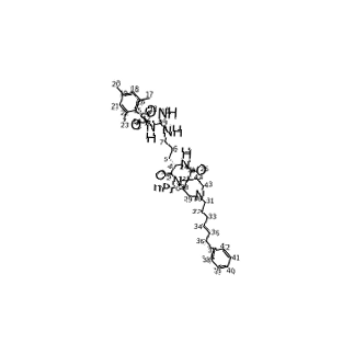 CCCN1C(=O)[C@H](CCCNC(=N)NS(=O)(=O)c2c(C)cc(C)cc2C)NC(=O)C12CCN(CCCCCCc1ccccc1)CC2